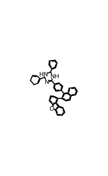 C1=CC(C2N=C(c3ccc(-c4c(-c5cccc6oc7ccccc7c56)ccc5ccccc45)cc3)NC(c3ccccc3)N2)=CCC1